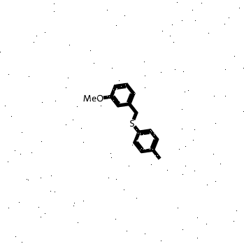 COc1cccc(CSc2ccc(C)cc2)c1